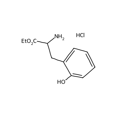 CCOC(=O)C(N)Cc1ccccc1O.Cl